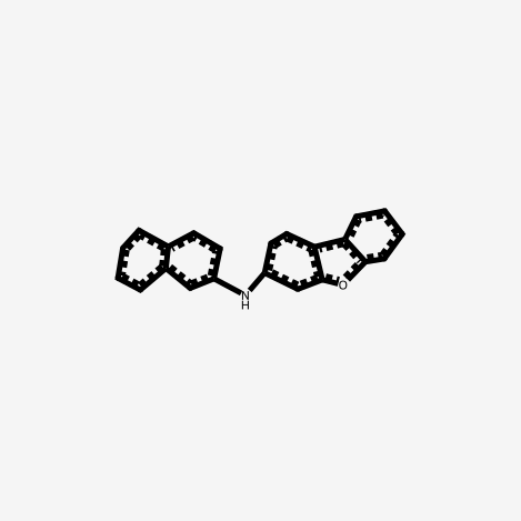 c1ccc2cc(Nc3ccc4c(c3)oc3ccccc34)ccc2c1